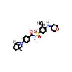 CC1(C)[C@@H]2CC[C@@]1(C)CN(c1ccc(C(=O)NS(=O)(=O)c3ccc(NC4CCOCC4)c([N+](=O)[O-])c3)cc1)C2